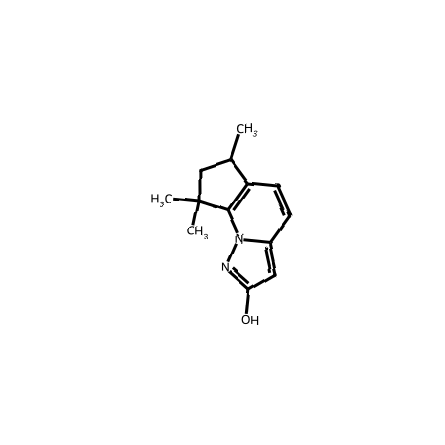 CC1CC(C)(C)c2c1ccc1cc(O)nn21